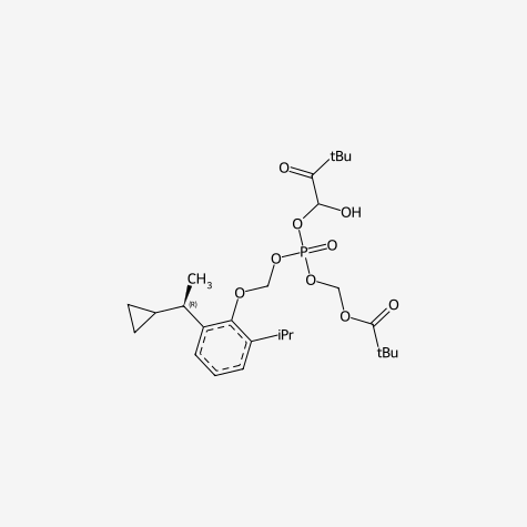 CC(C)c1cccc([C@H](C)C2CC2)c1OCOP(=O)(OCOC(=O)C(C)(C)C)OC(O)C(=O)C(C)(C)C